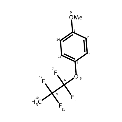 COc1ccc(OC(F)(F)C(C)(F)F)cc1